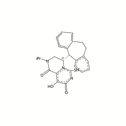 CC(C)N1C[C@H](C2C3=C=C=CC=C3CCc3ccccc32)n2c(S)nc(=O)c(O)c2C1=O